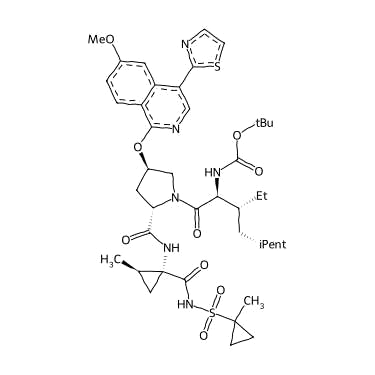 CCC[C@@H](C)C[C@@H](CC)[C@H](NC(=O)OC(C)(C)C)C(=O)N1C[C@H](Oc2ncc(-c3nccs3)c3cc(OC)ccc23)C[C@H]1C(=O)N[C@]1(C(=O)NS(=O)(=O)C2(C)CC2)C[C@H]1C